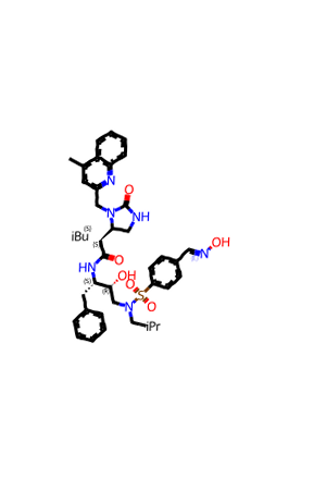 CC[C@H](C)[C@H](C(=O)N[C@@H](Cc1ccccc1)[C@H](O)CN(CC(C)C)S(=O)(=O)c1ccc(/C=N/O)cc1)C1CNC(=O)N1Cc1cc(C)c2ccccc2n1